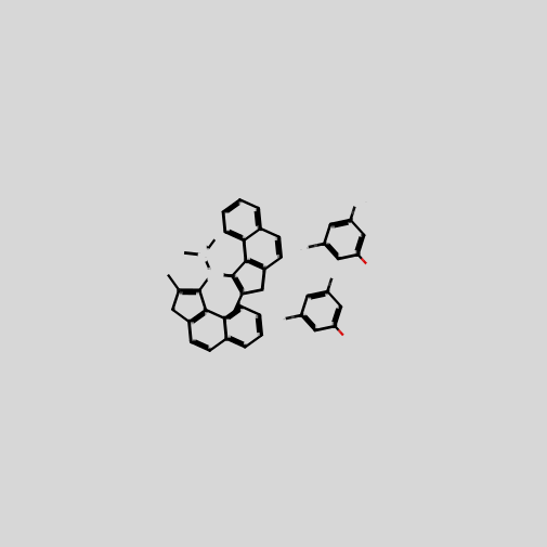 CC(C)(C)c1cc([O-])cc(C(C)(C)C)c1.CC(C)(C)c1cc([O-])cc(C(C)(C)C)c1.CC1=[C]([Zr+2]([C]2=C(C)Cc3ccc4ccccc4c32)[SiH](C)C)c2c(ccc3ccccc23)C1